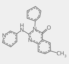 Cc1ccc2nc(Nc3cccnc3)n(-c3ccccc3)c(=O)c2c1